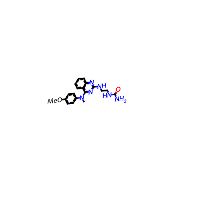 COc1ccc(N(C)c2nc(NCCNC(N)=O)nc3ccccc23)cc1